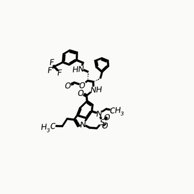 CCCc1cn2c3c(cc(C(=O)N[C@@H](Cc4ccccc4)[C@@H](CNCc4cccc(C(F)(F)F)c4)OC=O)cc13)N(CC)S(=O)(=O)CC2